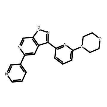 c1cncc(-c2cc3c(-c4cccc(N5CCOCC5)n4)n[nH]c3cn2)c1